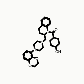 O=C(C1CCC(O)CC1)N1c2ccccc2CCC1CN1CCN(c2cccc3c2OCCO3)CC1